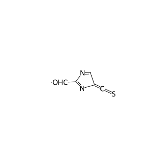 O=[C]C1=NC(=C=S)C=N1